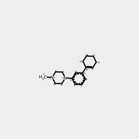 CN1CCN(c2cc[c]c(C3=CCCCC3)c2)CC1